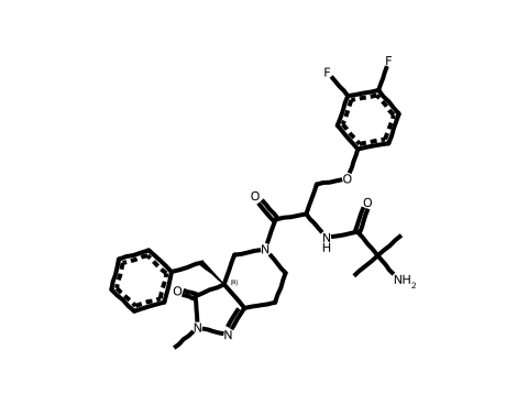 CN1N=C2CCN(C(=O)C(COc3ccc(F)c(F)c3)NC(=O)C(C)(C)N)C[C@@]2(Cc2ccccc2)C1=O